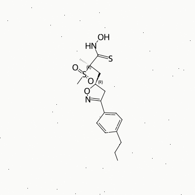 CCCc1ccc(C2=NO[C@@H](C[C@](C)(C(=S)NO)S(C)(=O)=O)C2)cc1